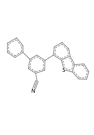 N#Cc1cc(-c2ccccc2)cc(-c2cccc3c2sc2ccccc23)c1